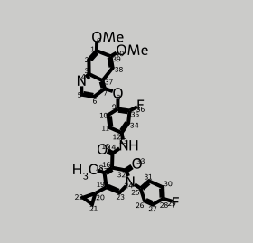 COc1cc2nccc(Oc3ccc(NC(=O)c4c(C)c(C5CC5)cn(-c5ccc(F)cc5)c4=O)cc3F)c2cc1OC